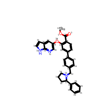 CC(C)(C)OC(=O)c1ccc(-c2ccc(CN3CCCC3c3ccccc3)cc2)cc1Oc1cnc2[nH]ccc2c1